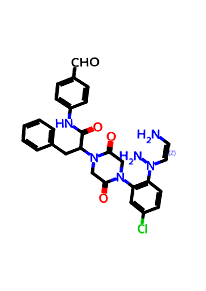 N/C=C\N(N)c1ccc(Cl)cc1N1CC(=O)N(C(Cc2ccccc2)C(=O)Nc2ccc(C=O)cc2)CC1=O